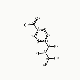 O=C(Cl)c1ccc(C(F)C(F)C(F)F)cc1